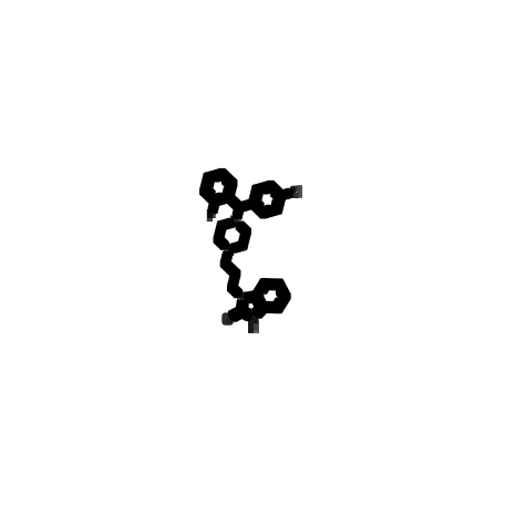 O=c1[nH]c2ccccc2n1CCCN1CCN(C(c2ccc(Cl)cc2)c2ccccc2F)CC1